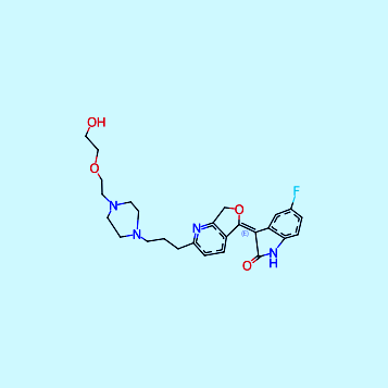 O=C1Nc2ccc(F)cc2/C1=C1\OCc2nc(CCCN3CCN(CCOCCO)CC3)ccc21